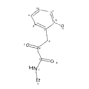 CCNC(=O)C(=O)Cc1ccccc1Cl